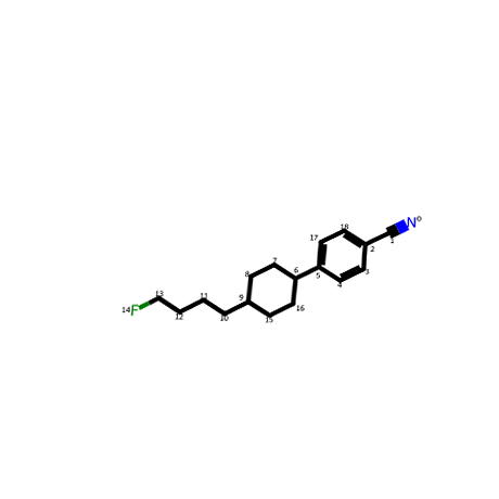 N#Cc1ccc(C2CCC(CCCCF)CC2)cc1